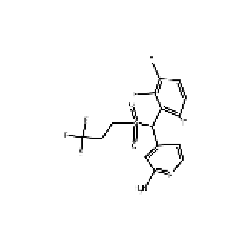 Nc1cc(C(c2c(F)ccc(F)c2F)S(=O)(=O)CCC(F)(F)F)ccn1